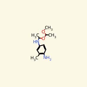 COC(C)OC(C)Nc1ccc(N)c(C)c1